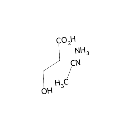 CC#N.N.O=C(O)CCO